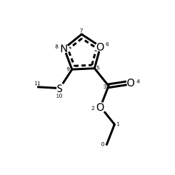 CCOC(=O)c1ocnc1SC